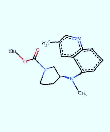 Cc1cnc2cccc(N(C)[C@H]3CCN(C(=O)OC(C)(C)C)C3)c2c1